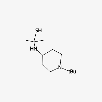 CC(C)(S)NC1CCN(C(C)(C)C)CC1